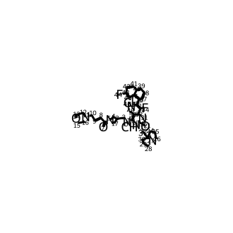 CN(CC1CN(C(=O)/C=C/CN2CCOCC2)C1)c1nc(OCC23CCCN2CCC3)nc2c(F)c(-c3cccc4ccc(F)c(Cl)c34)ncc12